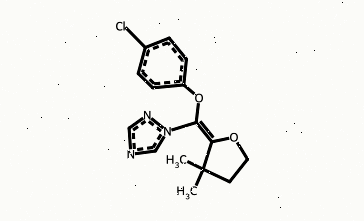 CC1(C)CCOC1=C(Oc1ccc(Cl)cc1)n1cncn1